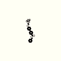 CS(=O)(=O)OCCOc1ccc(-c2ccc(C(=O)OCc3ccccc3)cc2)cc1